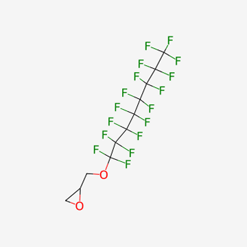 FC(F)(F)C(F)(F)C(F)(F)C(F)(F)C(F)(F)C(F)(F)C(F)(F)C(F)(F)OCC1CO1